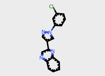 Clc1cccc(-n2cc(-c3cnc4ccccc4n3)cn2)c1